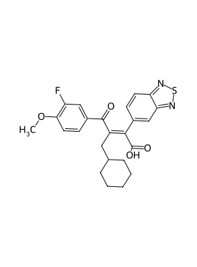 COc1ccc(C(=O)C(CC2CCCCC2)=C(C(=O)O)c2ccc3nsnc3c2)cc1F